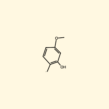 [CH2]c1ccc(OC)cc1O